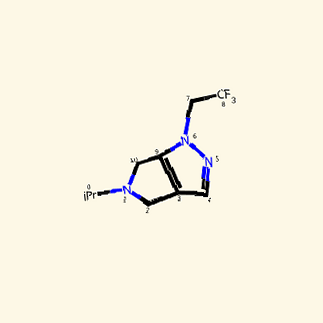 CC(C)N1Cc2cnn(CC(F)(F)F)c2C1